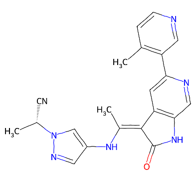 C/C(Nc1cnn([C@H](C)C#N)c1)=C1/C(=O)Nc2cnc(-c3cnccc3C)cc21